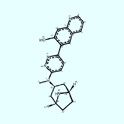 CN(c1ccc(-c2cc3cccnc3cc2O)nn1)[C@@H]1C[C@H]2CC[C@@H](C1)N2